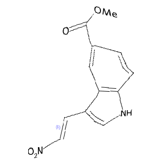 COC(=O)c1ccc2[nH]cc(/C=C/[N+](=O)[O-])c2c1